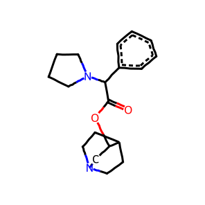 O=C(OC1CN2CCC1CC2)C(c1ccccc1)N1CCCC1